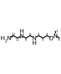 CN(C)OCCCNCCNCCN